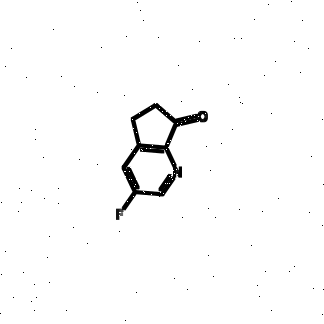 O=C1CCc2cc(F)cnc21